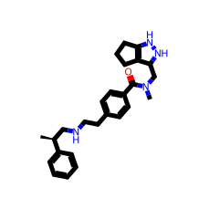 C[C@@H](CNCCc1ccc(C(=O)N(C)CC2NNC3=C2CCC3)cc1)c1ccccc1